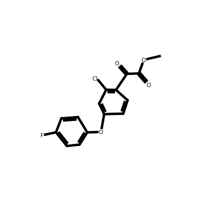 COC(=O)C(=O)c1ccc(Oc2ccc(F)cc2)cc1Cl